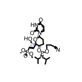 COP(=O)(/C=C/[C@@]1(CO)O[C@@H](n2ccc(=O)[nH]c2=O)CC[C@@H]1OP(OCCC#N)N(C(C)C)C(C)C)OC